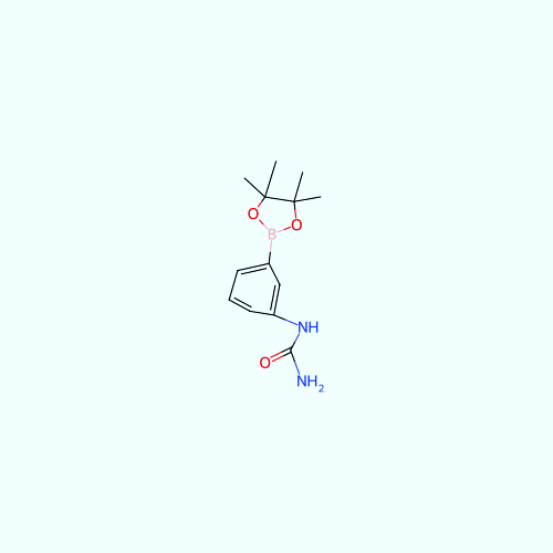 CC1(C)OB(c2cccc(NC(N)=O)c2)OC1(C)C